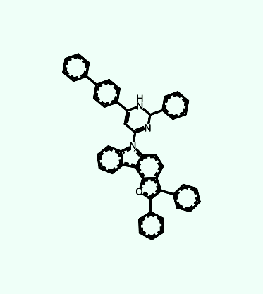 C1=C(c2ccc(-c3ccccc3)cc2)NC(c2ccccc2)N=C1n1c2ccccc2c2c3oc(-c4ccccc4)c(-c4ccccc4)c3ccc21